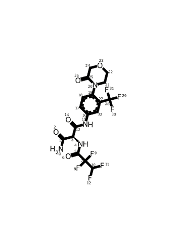 NC(=O)[C@H](NC(=O)C(F)(F)C(F)F)C(=O)Nc1ccc(N2CCOCC2=O)c(C(F)(F)F)c1